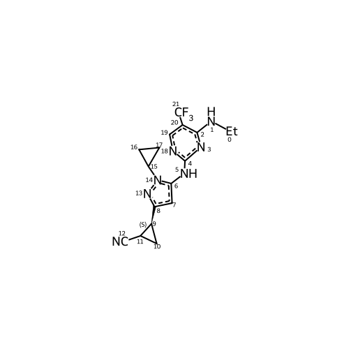 CCNc1nc(Nc2cc([C@H]3CC3C#N)nn2C2CC2)ncc1C(F)(F)F